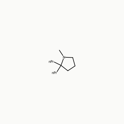 CCCC1(CCC)CCCN1C